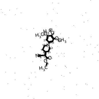 CCOC(=O)C(C#N)=C1CCN(c2cc(OC)c(OC)c(OC)c2)CC1